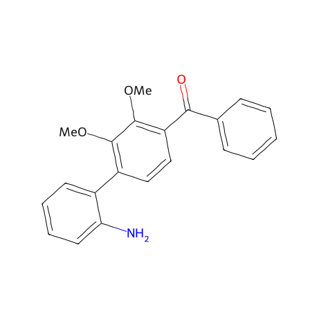 COc1c(C(=O)c2ccccc2)ccc(-c2ccccc2N)c1OC